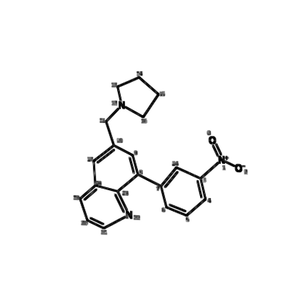 O=[N+]([O-])c1cccc(-c2cc(CN3CCCC3)cc3cccnc23)c1